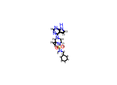 CN(CC1CCCCC1)S(=O)(=O)N1CCN(c2ncnc3[nH]ccc23)CC12CC2